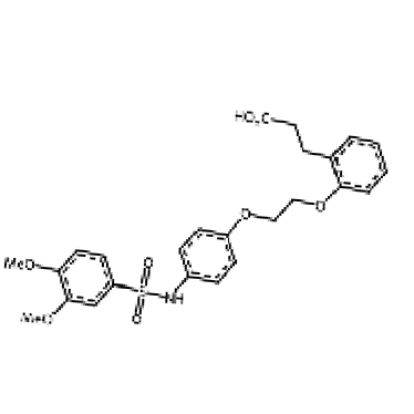 COc1ccc(S(=O)(=O)Nc2ccc(OCCOc3ccccc3CCC(=O)O)cc2)cc1OC